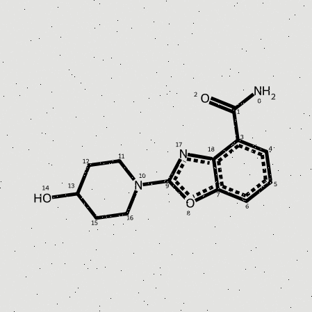 NC(=O)c1[c]ccc2oc(N3CCC(O)CC3)nc12